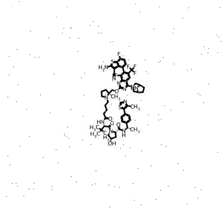 Cc1ncsc1-c1ccc([C@H](C)NC(=O)[C@@H]2C[C@@H](O)CN2C(=O)[C@@H](NC(=O)CCCCN2CCC[C@@]2(C)COc2nc(N3CC4CCC(C3)N4)c3cc(C(F)(F)F)c(-c4ccc(F)c5sc(N)c(C#N)c45)c(F)c3n2)C(C)(C)C)cc1